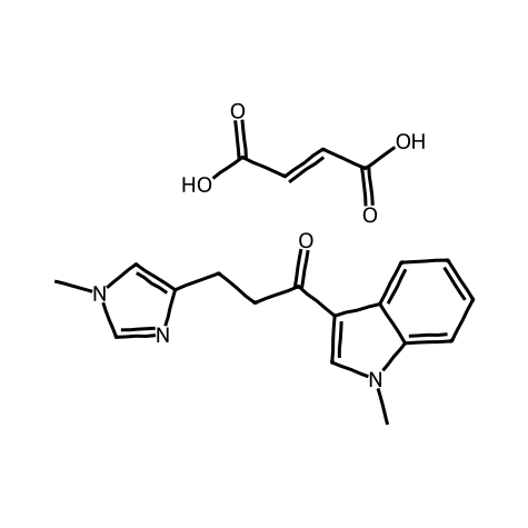 Cn1cnc(CCC(=O)c2cn(C)c3ccccc23)c1.O=C(O)C=CC(=O)O